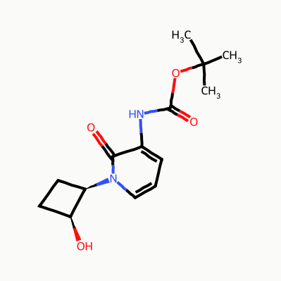 CC(C)(C)OC(=O)Nc1cccn([C@@H]2CC[C@@H]2O)c1=O